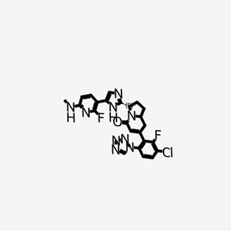 CNc1ccc(-c2cnc([C@@H]3CCC4CC(c5c(-n6cnnn6)ccc(Cl)c5F)=CC(=O)N43)[nH]2)c(F)n1